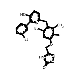 CCc1cccc(-c2nc(Cc3c(CC)cc(OCc4noc(=O)[nH]4)c(F)c3C)ccc2O)c1